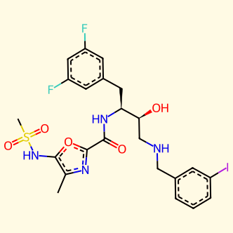 Cc1nc(C(=O)N[C@@H](Cc2cc(F)cc(F)c2)[C@@H](O)CNCc2cccc(I)c2)oc1NS(C)(=O)=O